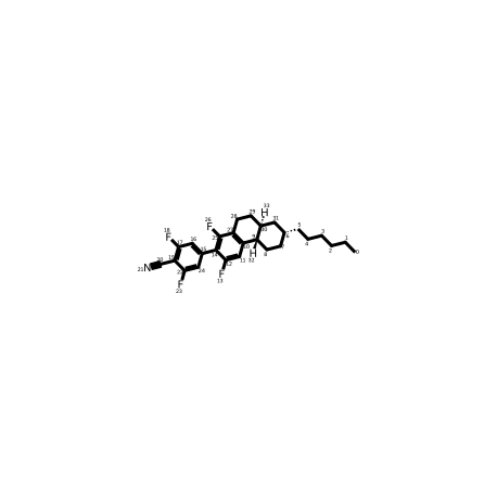 CCCCCC[C@@H]1CC[C@@H]2c3cc(F)c(-c4cc(F)c(C#N)c(F)c4)c(F)c3CC[C@H]2C1